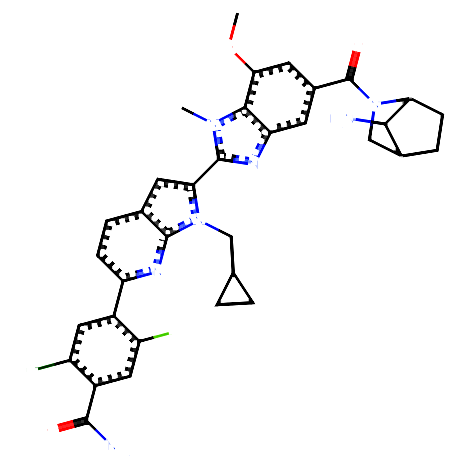 COc1cc(C(=O)N2CC3CCC2C3N)cc2nc(-c3cc4ccc(-c5cc(Cl)c(C(N)=O)cc5F)nc4n3CC3CC3)n(C)c12